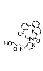 O=C(Nc1cc(OCC(O)CO)ccn1)c1ccc2cccc(-c3cccc(C(F)(F)F)c3)c2n1